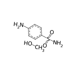 CO.Nc1ccc(S(N)(=O)=O)cc1